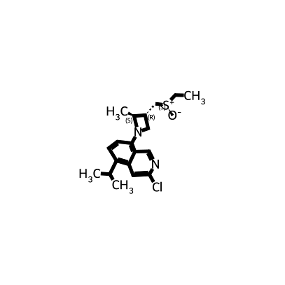 CC[S@@+]([O-])C[C@@H]1CN(c2ccc(C(C)C)c3cc(Cl)ncc23)[C@H]1C